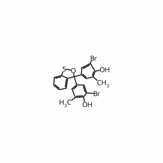 Cc1cc(C2(c3cc(C)c(O)c(Br)c3)OSc3ccccc32)cc(Br)c1O